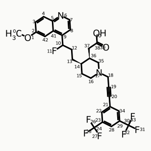 COc1ccc2nccc(C(F)CC[C@@H]3CCN(CC#Cc4cc(C(F)(F)F)cc(C(F)(F)F)c4)C[C@@H]3CC(=O)O)c2c1